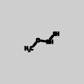 CONS